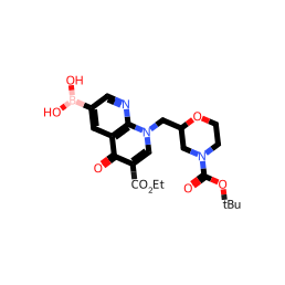 CCOC(=O)c1cn(CC2CN(C(=O)OC(C)(C)C)CCO2)c2ncc(B(O)O)cc2c1=O